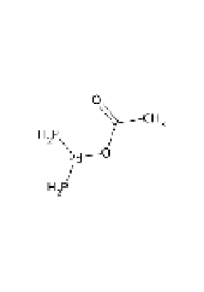 CC(=O)[O][Pd]([PH2])[PH2]